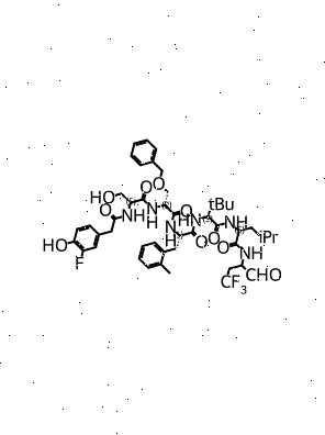 Cc1ccccc1C[C@H](NC(=O)[C@@H](COCc1ccccc1)NC(=O)[C@H](CO)NC(=O)Cc1ccc(O)c(F)c1)C(=O)N[C@H](C(=O)N[C@@H](CC(C)C)C(=O)NC(C=O)CC(F)(F)F)C(C)(C)C